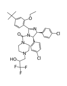 CCOc1cc(C(C)(C)C)ccc1C1=N[C@@H](c2ccc(Cl)cc2)[C@@H](c2ccc(Cl)cc2)N1C(=O)N1CCN(CC(O)C(F)(F)F)CC1